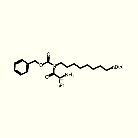 CCCCCCCCCCCCCCCCCCN(C(=O)OCc1ccccc1)C(=O)[C@@H](N)C(C)C